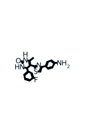 CC1=C(c2nc(-c3ccc(N)cc3)cs2)C(c2cccc(F)c2)NC(=O)N1